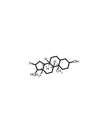 C[C@]12CCC(O)CC1CC[C@@H]1[C@H]2CC[C@]2(C)C(O)C(F)C[C@@H]12